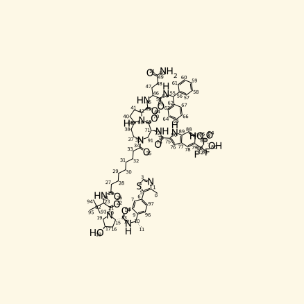 Cc1ncsc1-c1ccc([C@H](C)NC(=O)[C@@H]2C[C@@H](O)CN2C(=O)C(NC(=O)CCCCCCCC(=O)N2CC[C@H]3CC[C@@H](C(=O)NC(CCC(N)=O)C(=O)NC(c4ccccc4)c4ccccc4)N3C(=O)[C@@H](NC(=O)c3cc4cc(C(F)(F)P(=O)(O)O)ccc4[nH]3)C2)C(C)(C)C)cc1